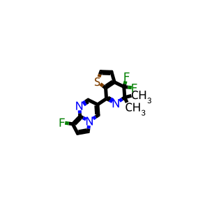 CC1(C)N=C(c2cnc3c(F)ccn3c2)c2sccc2C1(F)F